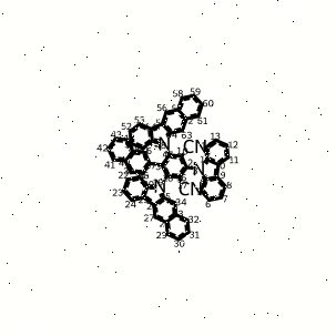 N#Cc1c(-n2c3ccccc3c3ccccc32)c(C#N)c(-n2c3ccccc3c3cc4ccccc4cc32)c(-c2ccc3ccccc3c2)c1-n1c2ccccc2c2cc3ccccc3cc21